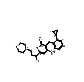 CCC(CCN1CCOCC1)c1cc(O)c(Cc2ccccc2C2CC2)c(=O)o1